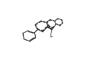 Brc1c2ccccc2cc2ccc(C3=CCCC=C3)cc12